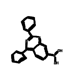 OB(O)c1ccc2c(-c3ccccc3)nc(-c3ccccc3)nc2c1